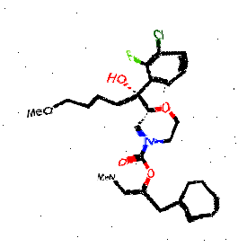 CNCC(CC1CCCCC1)OC(=O)N1CCO[C@@H]([C@@](O)(CCCCOC)c2cccc(Cl)c2F)C1